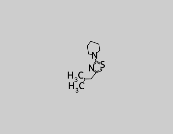 CC(C)Cc1csc(N2CCCCC2)n1